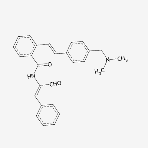 CN(C)Cc1ccc(/C=C/c2ccccc2C(=O)N/C(C=O)=C/c2ccccc2)cc1